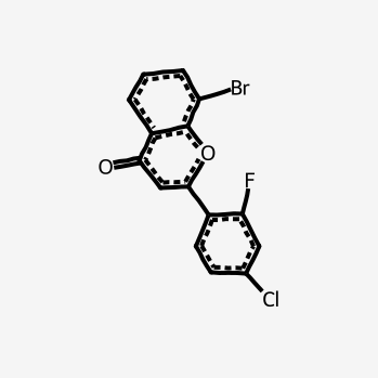 O=c1cc(-c2ccc(Cl)cc2F)oc2c(Br)cccc12